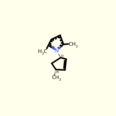 Cc1ccc(C)n1[C@@H]1C=C[C@H](C)C1